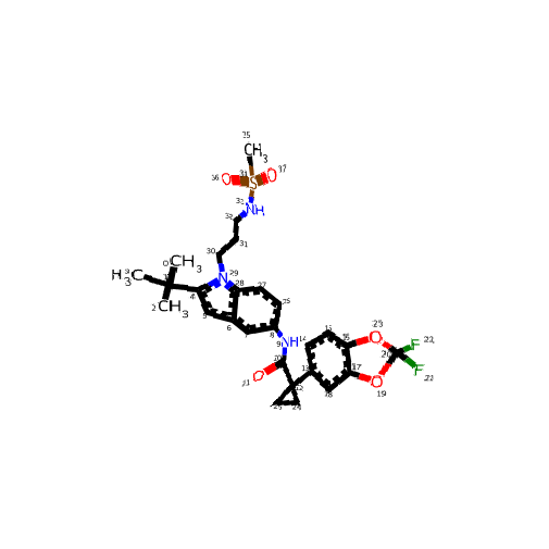 CC(C)(C)c1cc2cc(NC(=O)C3(c4ccc5c(c4)OC(F)(F)O5)CC3)ccc2n1CCCNS(C)(=O)=O